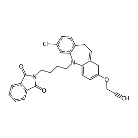 C#CCOC1=CC=C2C(=CCc3ccc(Cl)cc3N2CCCCN2C(=O)c3ccccc3C2=O)C1